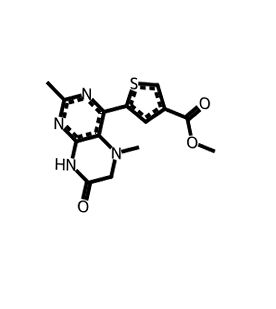 COC(=O)c1csc(-c2nc(C)nc3c2N(C)CC(=O)N3)c1